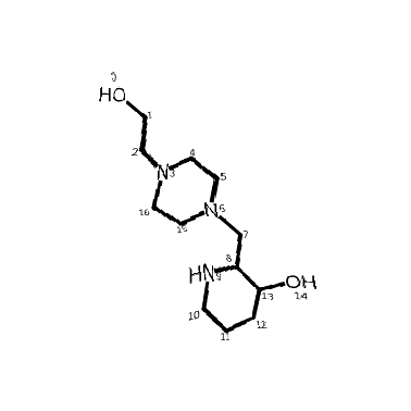 OCCN1CCN(CC2NCCCC2O)CC1